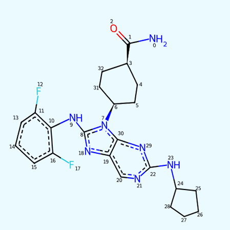 NC(=O)[C@H]1CC[C@@H](n2c(Nc3c(F)cccc3F)nc3cnc(NC4CCCC4)nc32)CC1